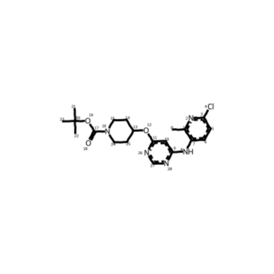 Cc1nc(Cl)ccc1Nc1cc(OC2CCN(C(=O)OC(C)(C)C)CC2)ncn1